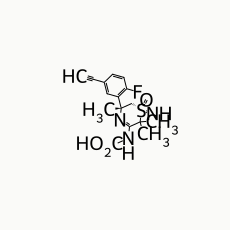 C#Cc1ccc(F)c([C@]2(C)C[S@@](=N)(=O)C(C)(C)C(NC(=O)O)=N2)c1